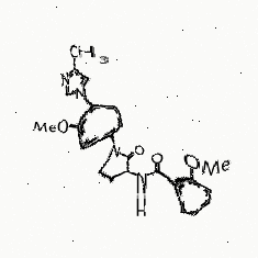 COc1ccccc1C(=O)NC1CCN(c2ccc(-n3cnc(C)c3)c(OC)c2)C1=O